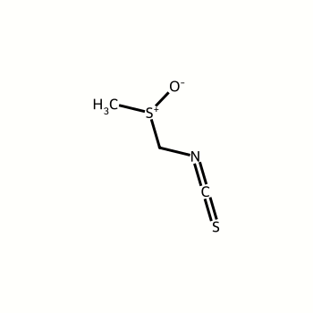 C[S+]([O-])CN=C=S